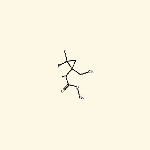 CC(C)(C)OC(=O)NC1(CO)CC1(F)F